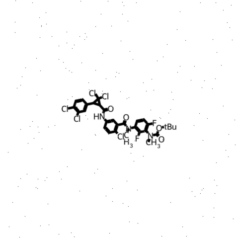 CN(C(=O)c1cc(NC(=O)C2C(c3ccc(Cl)c(Cl)c3)C2(Cl)Cl)ccc1Cl)c1ccc(F)c(N(C)C(=O)OC(C)(C)C)c1F